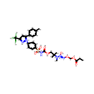 CCC(=O)OCO/N=[N+](\[O-])N(C)C(C)(C)COC(=O)NS(=O)(=O)c1ccc(-n2nc(C(F)(F)F)cc2-c2ccc(C)cc2)cc1